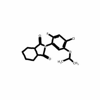 CC(C)Oc1cc(N2C(=O)C3CCCCC3C2=O)c(F)cc1Cl